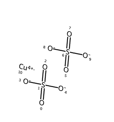 O=S(=O)([O-])[O-].O=S(=O)([O-])[O-].[Cu+4]